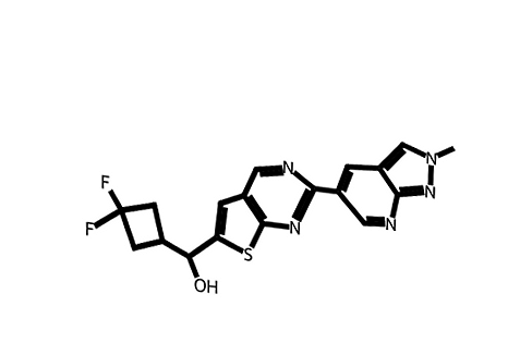 Cn1cc2cc(-c3ncc4cc(C(O)C5CC(F)(F)C5)sc4n3)cnc2n1